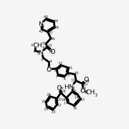 CCN(CCOc1ccc(CC(Nc2ccccc2C(=O)c2ccccc2)C(=O)OC)cc1)C(=O)CCc1cccnc1